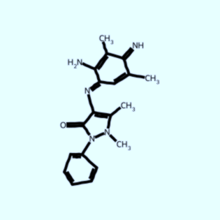 CC1=CC(=Nc2c(C)n(C)n(-c3ccccc3)c2=O)C(N)=C(C)C1=N